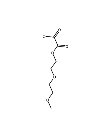 COCCOCCOC(=O)C(=O)Cl